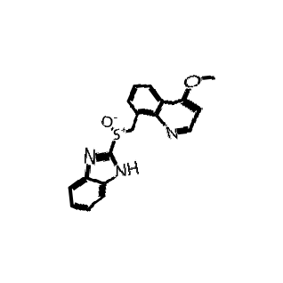 COc1ccnc2c(C[S+]([O-])c3nc4ccccc4[nH]3)cccc12